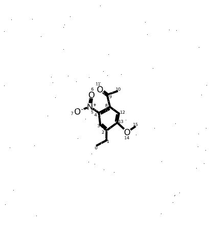 CCc1cc([N+](=O)[O-])c(C(C)=O)cc1OC